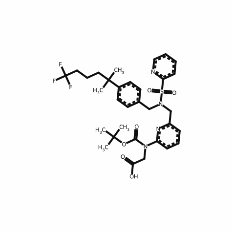 CC(C)(C)OC(=O)N(CC(=O)O)c1cccc(CN(Cc2ccc(C(C)(C)CCCC(F)(F)F)cc2)S(=O)(=O)c2ccccn2)n1